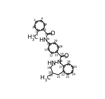 Cc1ccccc1C(=O)Nc1ccc(C(=O)N2NCC(C)Cc3ccccc32)cc1